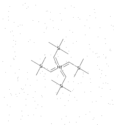 C[Si](C)(C)[CH]=[Hf](=[CH][Si](C)(C)C)(=[CH][Si](C)(C)C)=[CH][Si](C)(C)C